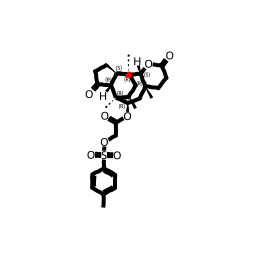 Cc1ccc(S(=O)(=O)OCC(=O)O[C@@H]2C[C@@]3(C)CCC(=O)O[C@H]3[C@H](C)[C@]34CCC(=O)[C@H]3[C@@]2(C)[C@H](C)CC4)cc1